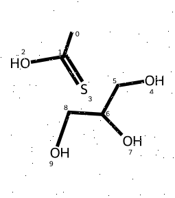 CC(O)=S.OCC(O)CO